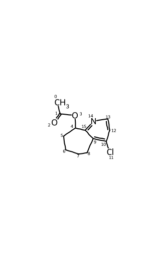 CC(=O)OC1CCCCc2c(Cl)ccnc21